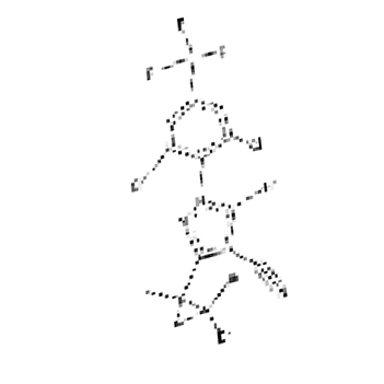 CC1(c2nn(-c3c(Cl)cc(C(F)(F)F)cc3Cl)c(Br)c2C#N)CC1(Br)Br